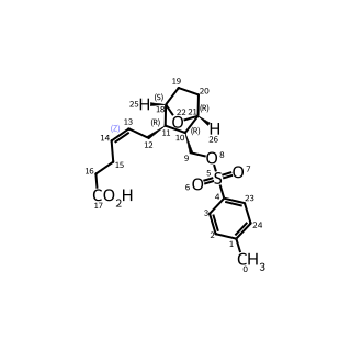 Cc1ccc(S(=O)(=O)OC[C@H]2[C@@H](C/C=C\CCC(=O)O)[C@@H]3CC[C@H]2O3)cc1